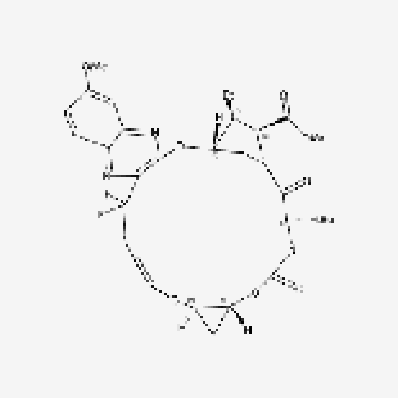 CC[C@@H]1[C@@H]2CN(C(=O)[C@H](C(C)(C)C)NC(=O)O[C@@H]3C[C@H]3CC=CCC(F)(F)c3nc4ccc(OC)cc4nc3O2)[C@@H]1C(=O)OC